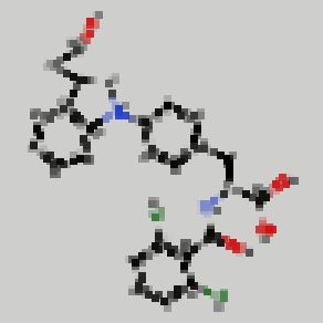 O=C(N[C@@H](Cc1ccc(N2CC3(CC3=O)c3ccccc32)cc1)C(=O)O)c1c(Cl)cccc1Cl